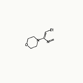 C=N/C(=C\CC)N1CCOCC1